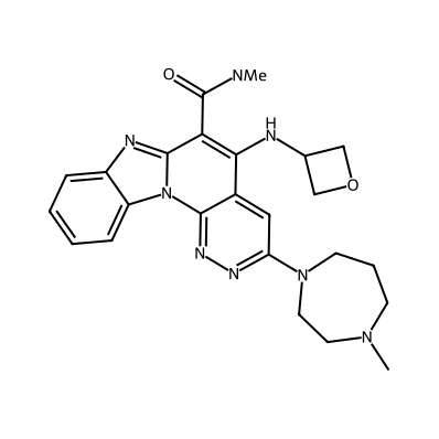 CNC(=O)c1c(NC2COC2)c2cc(N3CCCN(C)CC3)nnc2n2c1nc1ccccc12